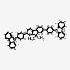 CC1(C)C2=C(C=CC(c3ccc(-n4c5ccccc5c5ccccc54)cc3)C2)c2ccc(-c3ccc(-n4c5ccccc5c5ccccc54)cc3)cc21